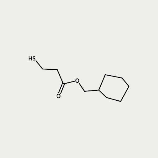 O=C(CCS)OCC1CCCCC1